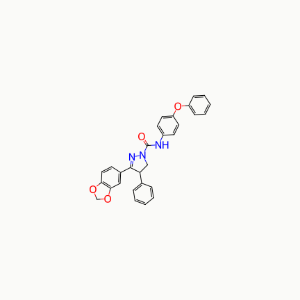 O=C(Nc1ccc(Oc2ccccc2)cc1)N1CC(c2ccccc2)C(c2ccc3c(c2)OCO3)=N1